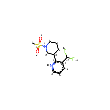 CS(=O)(=O)N1CCCC(c2ncccc2C(F)F)C1